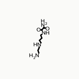 NCCCNCCCCNC(=O)C(N)=O